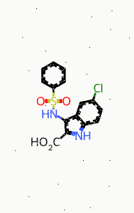 O=C(O)c1[nH]c2ccc(Cl)cc2c1NS(=O)(=O)c1ccccc1